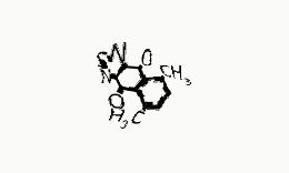 Cc1ccc(C)c2c1C(=O)c1nsnc1C2=O